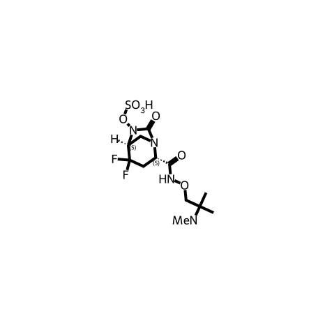 CNC(C)(C)CONC(=O)[C@@H]1CC(F)(F)[C@@H]2CN1C(=O)N2OS(=O)(=O)O